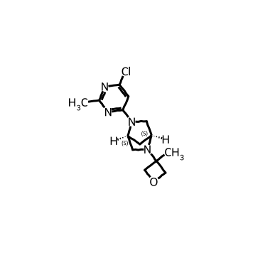 Cc1nc(Cl)cc(N2C[C@@H]3C[C@H]2CN3C2(C)COC2)n1